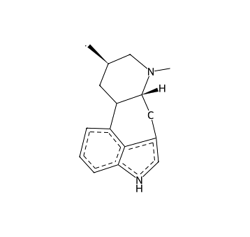 [CH2][C@@H]1CC2c3cccc4[nH]cc(c34)C[C@H]2N(C)C1